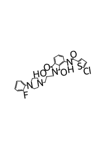 O=C(Nc1cccc2c1C(=O)N(CC(O)CN1CCN(c3ccccc3F)CC1)C2=O)c1ccc(Cl)s1